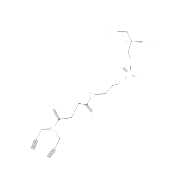 C#CCN(CC#C)C(=O)CCC(=O)NCCOP(=O)(O)OC[C@@H](COC(C)=O)OC(C)=O